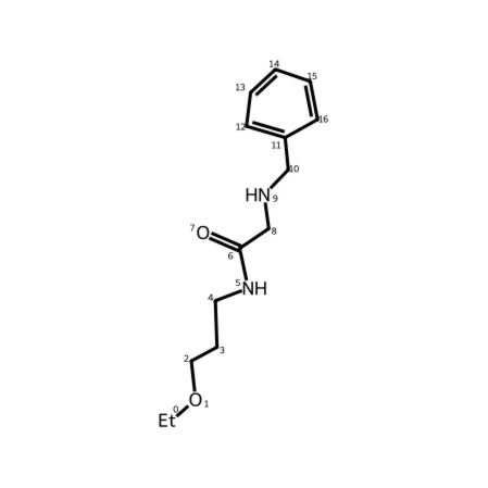 CCOCCCNC(=O)CNCc1ccccc1